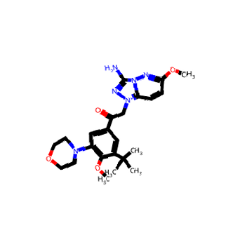 COc1ccc2n(n1)c(N)n[n+]2CC(=O)c1cc(N2CCOCC2)c(OC)c(C(C)(C)C)c1